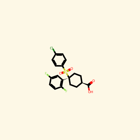 O=C(O)[C@H]1CC[C@@](c2cc(F)ccc2F)(S(=O)(=O)c2ccc(Cl)cc2)CC1